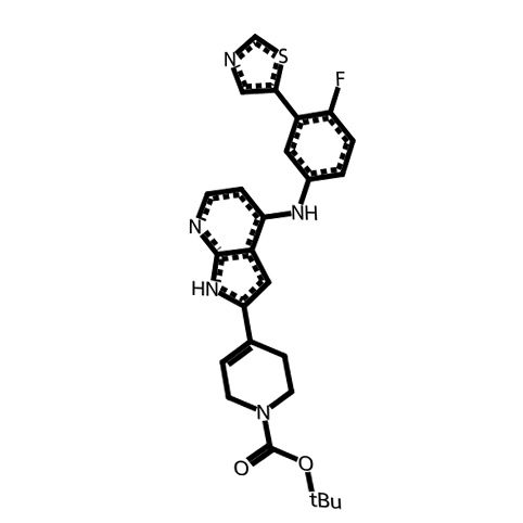 CC(C)(C)OC(=O)N1CC=C(c2cc3c(Nc4ccc(F)c(-c5cncs5)c4)ccnc3[nH]2)CC1